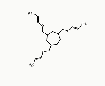 CC=COCC1CCC(COC=CC)CC(COC=CC)C1